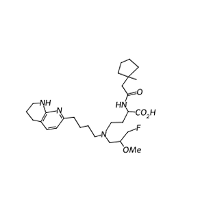 COC(CF)CN(CCCCc1ccc2c(n1)NCCC2)CCC(NC(=O)CC1(C)CCCC1)C(=O)O